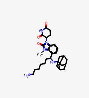 Cn1c(=O)n(C2CCC(=O)NC2=O)c2cccc(C(CCCCCCN)NC34CC5CC(CC(C5)C3)C4)c21